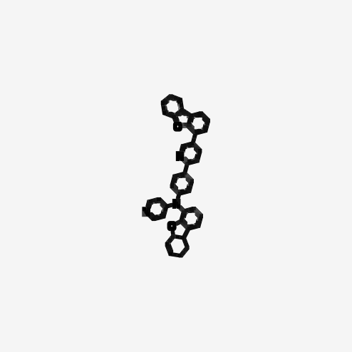 C1=CC2Oc3c(cccc3N(c3ccncc3)c3ccc(-c4ccc(-c5cccc6c5oc5ccccc56)cn4)cc3)C2CC1